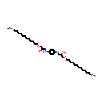 CCCCCCCCCCCCCCCCCCCCCCOCC(O)CNc1ccc(NCC(O)COCCCCCCCCCCCCCCCCCCCCCC)cc1